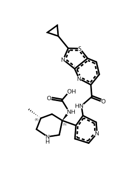 C[C@H]1CNC[C@@](NC(=O)O)(c2ccncc2NC(=O)c2ccc3sc(C4CC4)nc3n2)C1